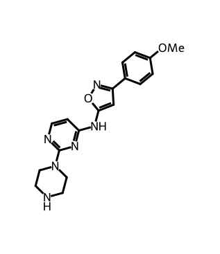 COc1ccc(-c2cc(Nc3ccnc(N4CCNCC4)n3)on2)cc1